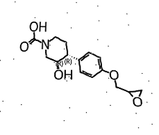 O=C(O)N1CC[C@H](c2ccc(OCC3CO3)cc2)[C@@H](O)C1